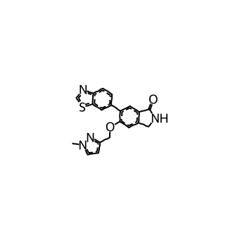 Cn1ccc(COc2cc3c(cc2-c2ccc4ncsc4c2)C(=O)NC3)n1